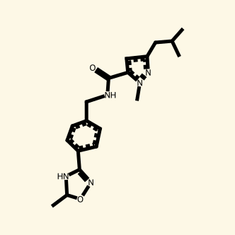 CC(C)Cc1cc(C(=O)NCc2ccc(C3=NOC(C)N3)cc2)n(C)n1